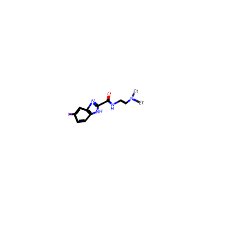 CCN(CC)CCNC(=O)c1nc2cc(I)ccc2[nH]1